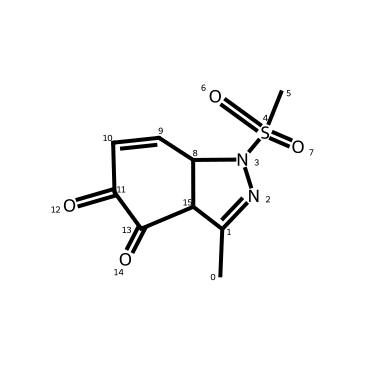 CC1=NN(S(C)(=O)=O)C2C=CC(=O)C(=O)C12